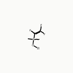 CCO[Si](C)(C)C(F)=C(F)F